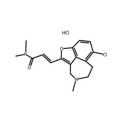 CN1CCc2c(Cl)ccc3oc(/C=C/C(=O)N(C)C)c(c23)C1.Cl